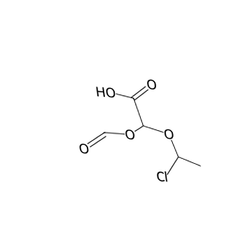 CC(Cl)OC(OC=O)C(=O)O